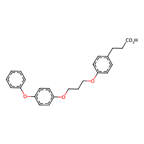 O=C(O)CCc1ccc(OCCCOc2ccc(Oc3ccccc3)cc2)cc1